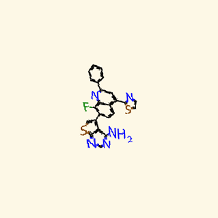 Nc1ncnc2scc(-c3ccc4c(-c5nccs5)cc(-c5ccccc5)nc4c3F)c12